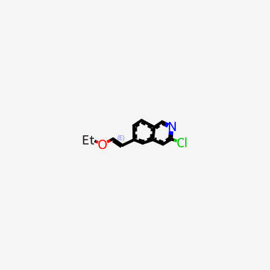 CCO/C=C/c1ccc2cnc(Cl)cc2c1